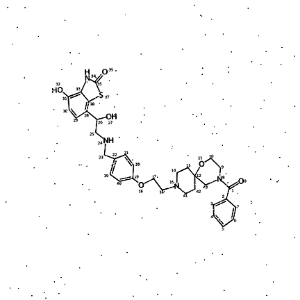 O=C(c1ccccc1)N1CCOC2(CCN(CCOc3ccc(CNCC(O)c4ccc(O)c5[nH]c(=O)sc45)cc3)CC2)C1